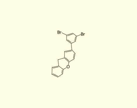 Brc1cc(Br)cc(-c2ccc3c(c2)Cc2ccccc2O3)c1